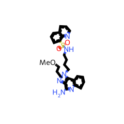 COCCc1nc2c(N)nc3ccccc3c2n1CCCCNS(=O)(=O)c1cccc2cccnc12